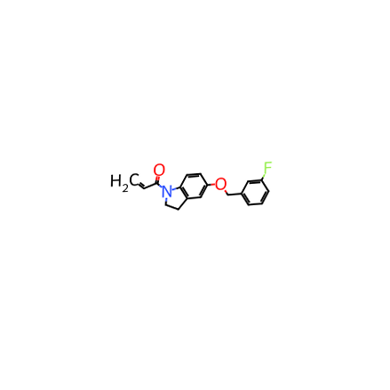 C=CC(=O)N1CCc2cc(OCc3cccc(F)c3)ccc21